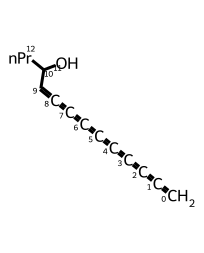 C=C=C=C=C=C=C=C=C=CC(O)CCC